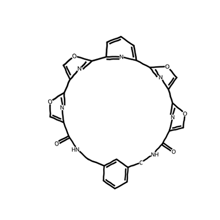 O=C1NCc2cccc(c2)CNC(=O)c2coc(n2)-c2coc(n2)-c2cccc(n2)-c2nc(co2)-c2nc1co2